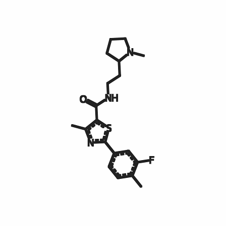 Cc1ccc(-c2nc(C)c(C(=O)NCCC3CCCN3C)s2)cc1F